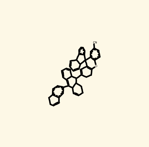 N#Cc1ccc2c(c1)C1(C3=C(CCC(C4C5C=CC=CC5=C(c5ccc6c(c5)C=CCC6)C5C=CCCC54)=C3)O2)c2ccccc2C2C=CC=CC21